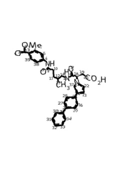 COC(=O)c1ccc(NC(=O)CCC(C)CNC(=O)[C@@H](CC(=O)O)n2ccc(-c3ccc(-c4ccccc4)cc3)c2)cc1